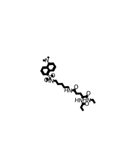 CCNC(=O)C(CCC(=O)NCCCCCNS(=O)(=O)c1cccc2c(N(C)C)cccc12)NC(=O)CC